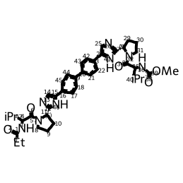 CCC(=O)NC(C(=O)N1CCC[C@H]1c1ncc(-c2ccc(-c3ccc(-c4cnc([C@@H]5CCCN5C(=O)C(NC(=O)OC)C(C)C)[nH]4)cc3)cc2)[nH]1)C(C)C